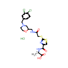 C[C@H](NC(=O)c1csc(SCC(=O)NCC2CN(Cc3ccc(Cl)c(Cl)c3)CCO2)n1)C(=O)O.Cl